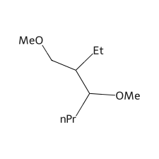 CCCC(OC)C(CC)COC